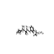 CC(Oc1cc(CNC(=O)NC23CC(F)(C2)C3)ccn1)C(F)(F)F